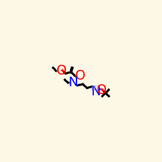 C=C(COCC)C(=O)N(CC)CCC/C=N/OC(C)(C)C